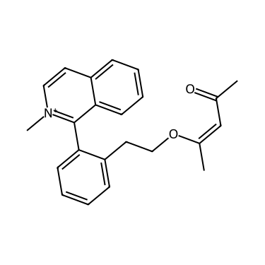 CC(=O)/C=C(/C)OCCc1ccccc1-c1c2ccccc2cc[n+]1C